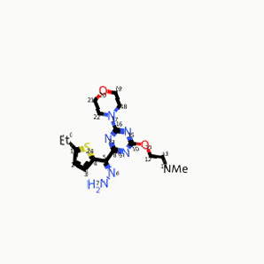 CCc1ccc(C(=NN)c2nc(OCCNC)nc(N3CCOCC3)n2)s1